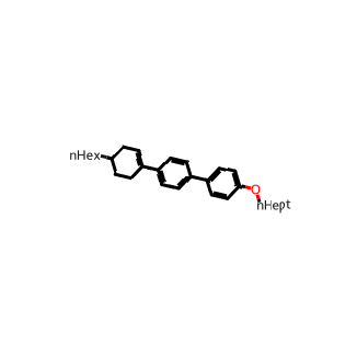 CCCCCCCOc1ccc(-c2ccc(C3=CCC(CCCCCC)CC3)cc2)cc1